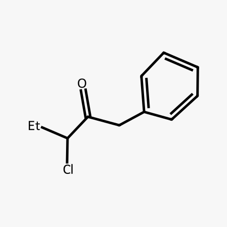 CCC(Cl)C(=O)Cc1ccccc1